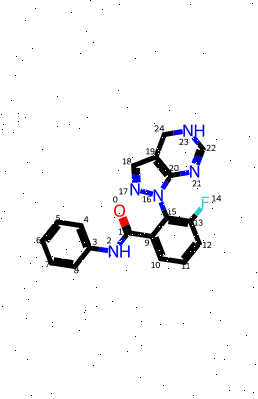 O=C(Nc1ccccc1)c1cccc(F)c1-n1ncc2c1N=CNC2